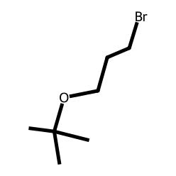 CC(C)(C)OCCCBr